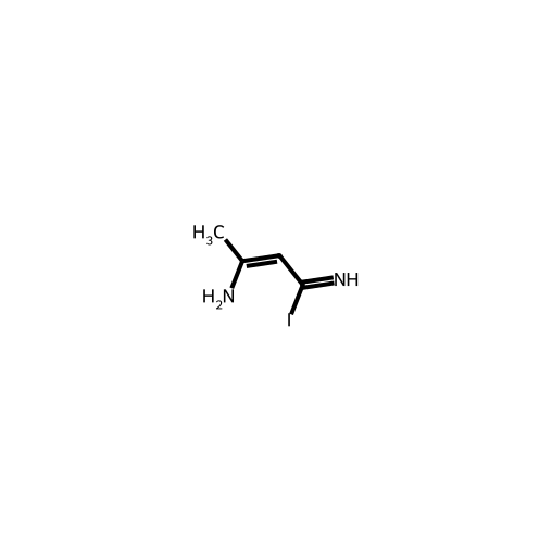 C/C(N)=C/C(=N)I